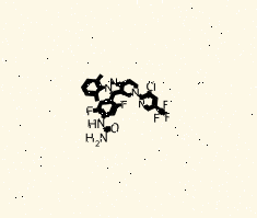 Cc1cccc(C)c1-n1nc2c(c1-c1cc(F)c(NC(N)=O)cc1F)CN(c1ncc(C(F)(F)F)cc1Cl)CC2